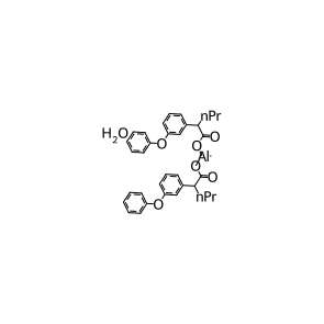 CCCC(C(=O)[O][Al][O]C(=O)C(CCC)c1cccc(Oc2ccccc2)c1)c1cccc(Oc2ccccc2)c1.O